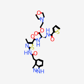 Cc1nc(NC(=O)Cc2cccc3[nH]ncc23)sc1C(=O)N[C@@H](CNC(=O)c1cccs1)C(=O)OCCN1CCOCC1